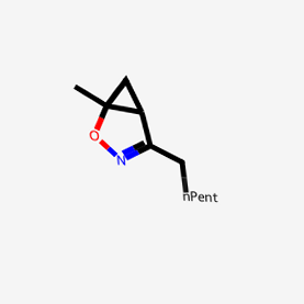 CCCCCCC1=NOC2(C)CC12